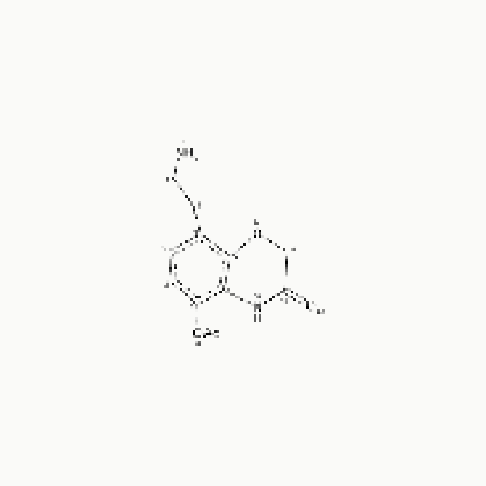 CC(=O)Oc1ccc(CCN)c2c1NC(=O)CO2